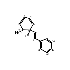 OC1C=CC=CC1(F)C=Cc1ccccc1